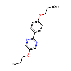 CCCCCCCCCCCCOc1ccc(-c2ncc(OCCC(C)CC)cn2)cc1